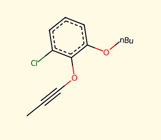 CC#COc1c(Cl)cccc1OCCCC